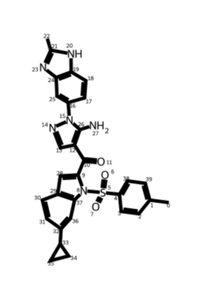 Cc1ccc(S(=O)(=O)n2c(C(=O)c3cnn(-c4ccc5[nH]c(C)nc5c4)c3N)cc3ccc(C4CC4)cc32)cc1